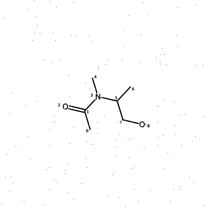 CC(=O)N(C)C(C)C[O]